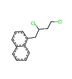 ClCCC(Cl)Cc1cccc2ccccc12